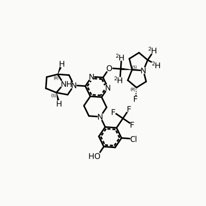 [2H]C1([2H])CC[C@@]2(C([2H])([2H])Oc3nc4c(c(N5C[C@H]6CC[C@@H](C5)N6)n3)CCN(c3cc(O)cc(Cl)c3C(F)(F)F)C4)C[C@@H](F)CN12